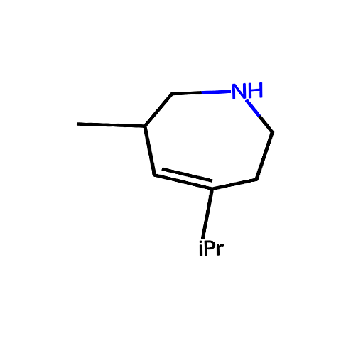 CC1C=C(C(C)C)CCNC1